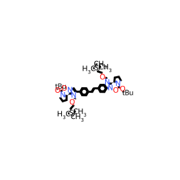 CC(C)(C)OC(=O)N1CCC[C@H]1c1ncc(-c2ccc(/C=C/c3ccc4nc([C@@H]5CCCN5C(=O)OC(C)(C)C)n(COCC[Si](C)(C)C)c4c3)cc2)n1COCC[Si](C)(C)C